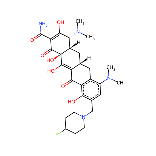 CN(C)c1cc(CN2CCC(F)CC2)c(O)c2c1C[C@H]1C[C@H]3[C@@H](N(C)C)C(O)=C(C(N)=O)C(=O)[C@@]3(O)C(O)=C1C2=O